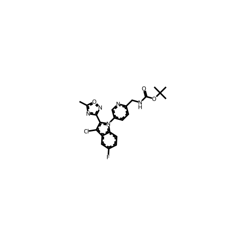 Cc1nc(-c2c(Cl)c3cc(F)ccc3n2-c2ccc(CNC(=O)OC(C)(C)C)nc2)no1